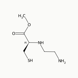 COC(=O)[C@H](CS)NCCN